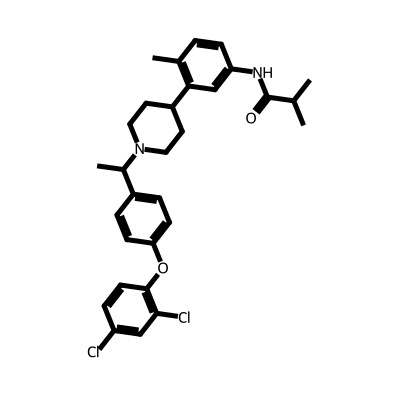 Cc1ccc(NC(=O)C(C)C)cc1C1CCN(C(C)c2ccc(Oc3ccc(Cl)cc3Cl)cc2)CC1